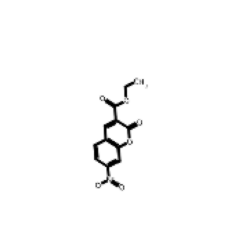 CCOC(=O)c1cc2ccc([N+](=O)[O-])cc2oc1=O